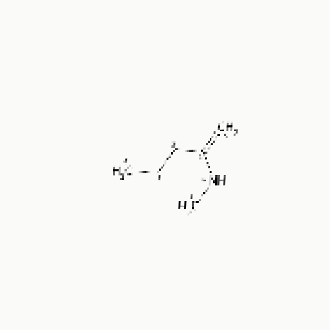 C=C(CCC)NC